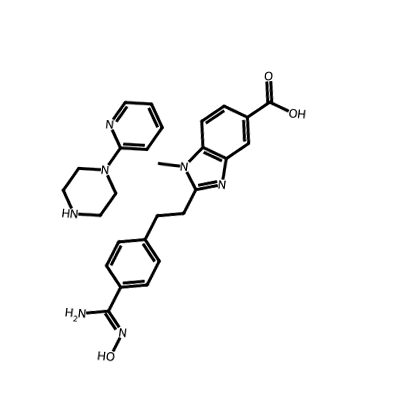 Cn1c(CCc2ccc(C(N)=NO)cc2)nc2cc(C(=O)O)ccc21.c1ccc(N2CCNCC2)nc1